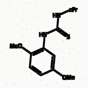 CCCNC(=S)Nc1cc(OC)ccc1OC